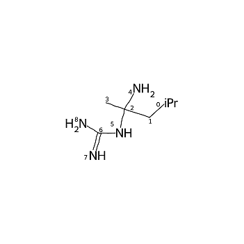 CC(C)CC(C)(N)NC(=N)N